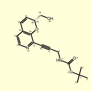 CC(C)(C)OC(=O)NCC#Cc1nccc2c1O[C@@H](CO)C=C2